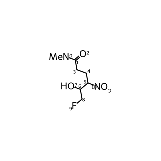 CNC(=O)CCC(C(O)CF)[N+](=O)[O-]